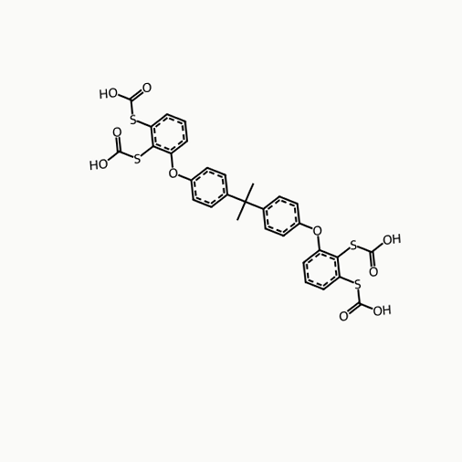 CC(C)(c1ccc(Oc2cccc(SC(=O)O)c2SC(=O)O)cc1)c1ccc(Oc2cccc(SC(=O)O)c2SC(=O)O)cc1